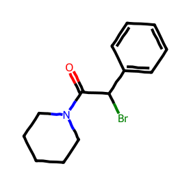 O=C(C(Br)c1ccccc1)N1CCCCC1